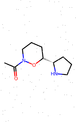 CC(=O)N1CCCC([C@@H]2CCCN2)O1